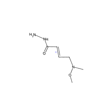 CON(C)C/C=C/C(=O)NN